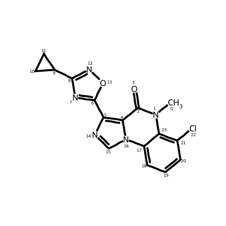 Cn1c(=O)c2c(-c3nc(C4CC4)no3)ncn2c2cccc(Cl)c21